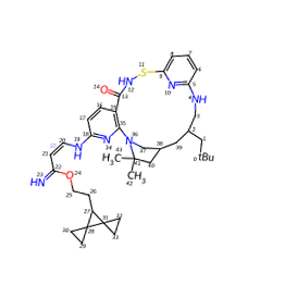 CC(C)(C)CC1CNc2cccc(n2)SNC(=O)c2ccc(N/C=C\C(=N)OCCC3C4(CC4)C34CC4)nc2N2CC(C1)CC2(C)C